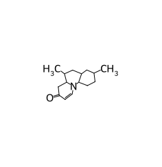 CC1CCC2C(C1)CC(C)C1CC(=O)C=CN12